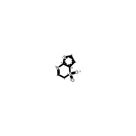 O=S1(=O)CC=Nc2sccc21